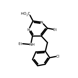 CCNc1nc(C(=O)O)nc(CC)c1Cc1ccccc1Cl